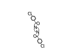 O=C(CN1CCN(CC(=O)c2ccc(Cl)cc2)CC1)c1ccc(Cl)cc1